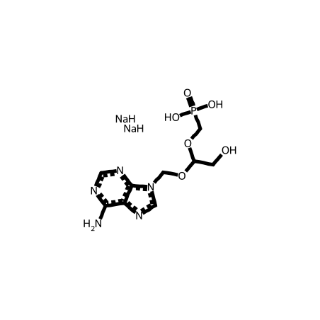 Nc1ncnc2c1ncn2COC(CO)OCP(=O)(O)O.[NaH].[NaH]